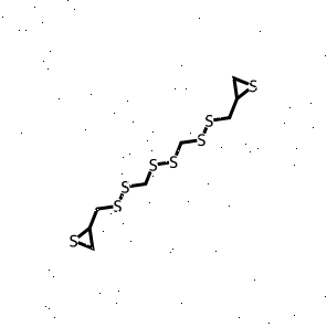 C(SSCSSCC1CS1)SSCC1CS1